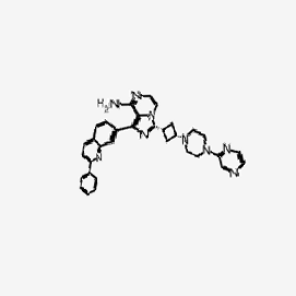 Nc1nccn2c1c(-c1ccc3ccc(-c4ccccc4)nc3c1)nc2[C@H]1C[C@@H](N2CCN(c3cnccn3)CC2)C1